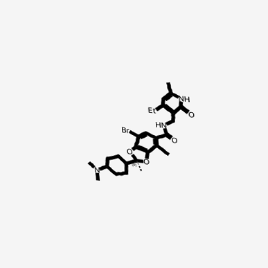 CCc1cc(C)[nH]c(=O)c1CNC(=O)c1cc(Br)c2c(c1C)O[C@@](C)(C1CCC(N(C)C)CC1)O2